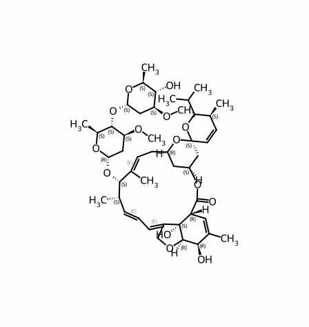 CO[C@H]1C[C@H](O[C@H]2[C@H](C)O[C@@H](O[C@@H]3/C(C)=C/C[C@@H]4C[C@@H](C[C@]5(C=C[C@H](C)C(C(C)C)O5)O4)OC(=O)[C@@H]4C=C(C)[C@@H](O)[C@H]5OC/C(=C\C=C\[C@@H]3C)[C@]54O)C[C@@H]2OC)O[C@@H](C)[C@@H]1O